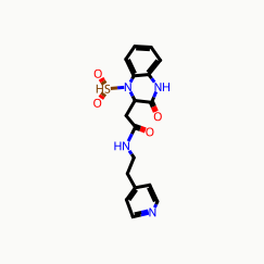 O=C(CC1C(=O)Nc2ccccc2N1[SH](=O)=O)NCCc1ccncc1